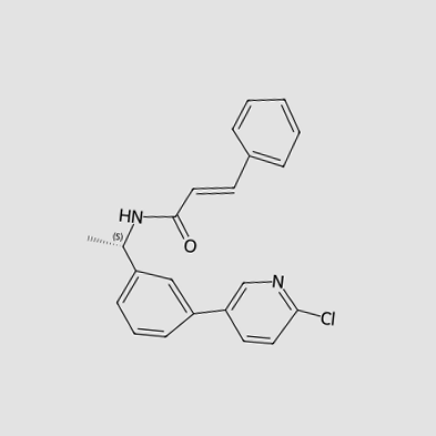 C[C@H](NC(=O)C=Cc1ccccc1)c1cccc(-c2ccc(Cl)nc2)c1